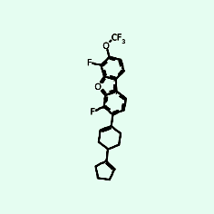 Fc1c(OC(F)(F)F)ccc2c1oc1c(F)c(C3=CCC(C4=CCCC4)CC3)ccc12